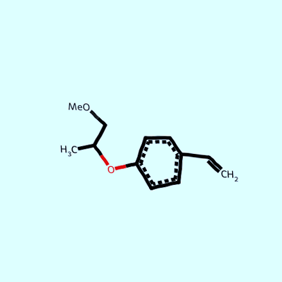 C=Cc1ccc(OC(C)COC)cc1